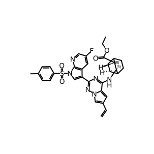 C=Cc1cc2c(N[C@@H]3C4CCC(CC4)[C@H]3C(=O)OCC)nc(-c3cn(S(=O)(=O)c4ccc(C)cc4)c4ncc(F)cc34)nn2c1